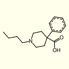 CCCCN1CCC(C(=O)O)(c2ccccc2)CC1